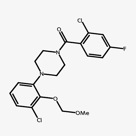 COCOc1c(Cl)cccc1N1CCN(C(=O)c2ccc(F)cc2Cl)CC1